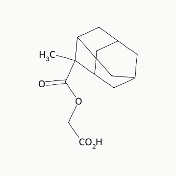 CC1(C(=O)OCC(=O)O)C2CC3CC(C2)CC1C3